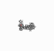 c1ccc(-c2ccc(N(c3ccc4c(c3)Oc3cc5c(cc3O4)C3(c4ccccc4-c4ccccc43)c3ccccc3-5)c3ccccc3-c3ccccc3)cc2)cc1